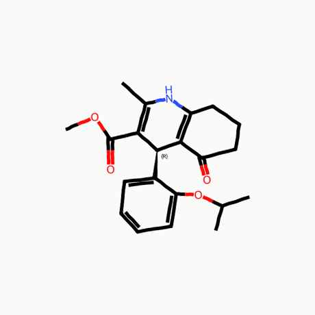 COC(=O)C1=C(C)NC2=C(C(=O)CCC2)[C@H]1c1ccccc1OC(C)C